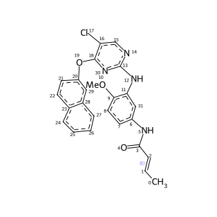 C/C=C/C(=O)Nc1ccc(OC)c(Nc2ncc(Cl)c(Oc3ccc4ccccc4c3)n2)c1